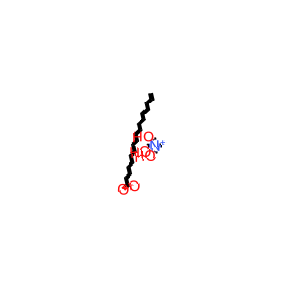 CCCCCCCCCCCCCCCCCC(=O)[O-].C[N+](CO)(CO)CO